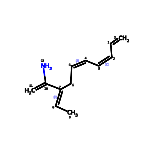 C=C/C=C\C=C/C/C(=C\C)C(=C)N